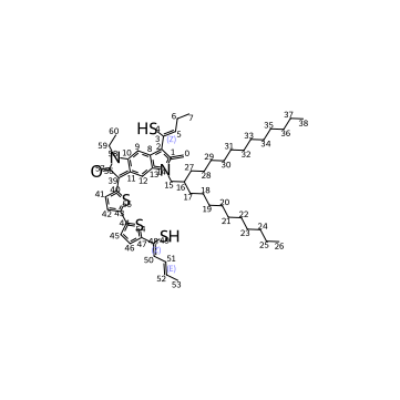 C=c1c(/C(S)=C/CC)c2cc3c(cc2n1CC(CCCCCCCCCC)CCCCCCCCCCCC)=C(c1ccc(-c2ccc(/C(S)=C/C=C/C)s2)s1)C(=O)N3CC